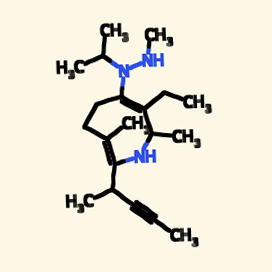 CC#CC(C)/C1=C(/C)CC/C(N(NC)C(C)C)=C(/CC)C(C)N1